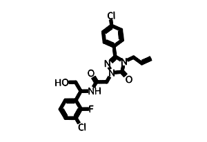 C=CCn1c(-c2ccc(Cl)cc2)nn(CC(=O)NC(CO)c2cccc(Cl)c2F)c1=O